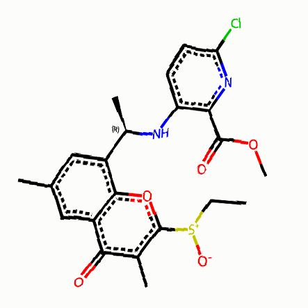 CC[S+]([O-])c1oc2c([C@@H](C)Nc3ccc(Cl)nc3C(=O)OC)cc(C)cc2c(=O)c1C